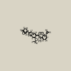 CC(C)Oc1cc2nc([C@]34CC[C@](C)(C3)OC4)cn2cc1C(=O)Nc1cccn(C2CC2)c1=O